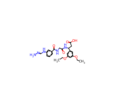 CCOc1cc(OCC)cc(C(CC(=O)O)NC(=O)CNC(=O)c2cccc(NC=NN)c2)c1